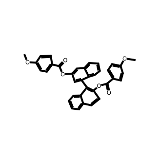 COc1ccc(C(=O)Oc2cc(-c3c(OC(=O)c4ccc(OC)cc4)ccc4ccccc34)c3ccccc3c2)cc1